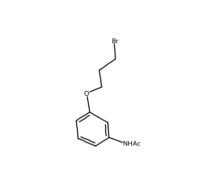 CC(=O)Nc1cccc(OCCCBr)c1